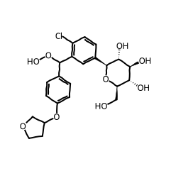 OC[C@H]1O[C@@H](c2ccc(Cl)c(C(OO)c3ccc(OC4CCOC4)cc3)c2)[C@H](O)[C@@H](O)[C@@H]1O